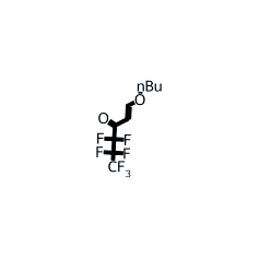 CCCCOC=CC(=O)C(F)(F)C(F)(F)C(F)(F)F